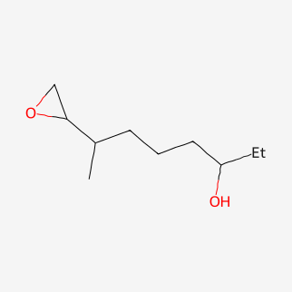 CCC(O)CCCC(C)C1CO1